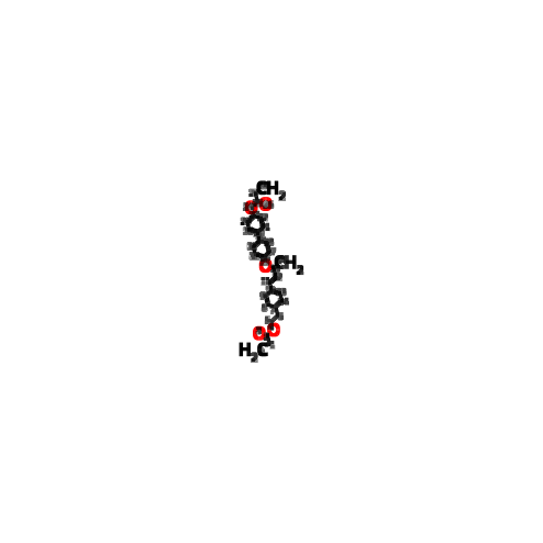 C=CC(=O)OCCc1ccc(/C=C/C(=C)Oc2ccc(-c3ccc(OC(=O)C=C)cc3)cc2)cc1